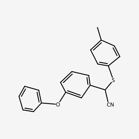 Cc1ccc(SC(C#N)c2cccc(Oc3ccccc3)c2)cc1